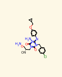 NOC[C@H](Cn1c(=O)n(N)/c(=N\c2ccc(OCC3CC3)cc2)n(Cc2ccc(Cl)cc2)c1=O)N=O